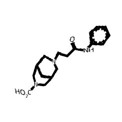 O=C(CCN1CC2CC(C1)CN(C(=O)O)C2)Nc1ccccc1